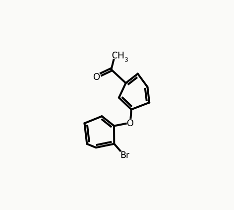 CC(=O)c1cccc(Oc2ccccc2Br)c1